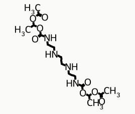 CC(=O)OC(C)OC(=O)NCCNCCNCCNC(=O)OC(C)OC(C)=O